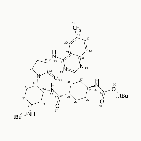 CC(C)(C)N[C@@H]1CC[C@H](N2CC[C@H](Nc3ncnc4ccc(C(F)(F)F)cc34)C2=O)[C@H](NC(=O)[C@H]2CC[C@H](NC(=O)OC(C)(C)C)CC2)C1